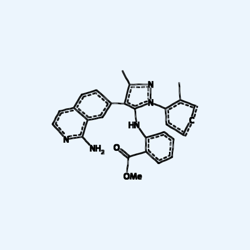 COC(=O)c1ccccc1Nc1c(-c2ccc3ccnc(N)c3c2)c(C)nn1-c1ccccc1C